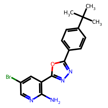 CC(C)(C)c1ccc(-c2nnc(-c3cc(Br)cnc3N)o2)cc1